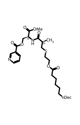 CCCCCCCCCCCCCCCC(=O)OCCSC[C@H](C)C(=O)N[C@@H](COC(=O)c1cccnc1)C(=O)OC